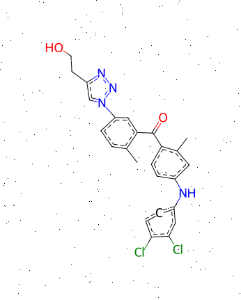 Cc1cc(Nc2ccc(Cl)c(Cl)c2)ccc1C(=O)c1cc(-n2cc(CCO)nn2)ccc1C